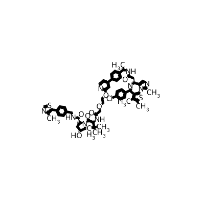 Cc1ncsc1-c1ccc(CNC(=O)[C@@H]2C[C@@H](O)CN2C(=O)[C@@H](NC(=O)COCCOc2cc(-c3ccc([C@@H](C)NC(=O)C[C@@H]4N=C(c5ccc(Cl)cc5)c5c(sc(C)c5C)-n5c4cnc5C)cc3)ccn2)C(C)(C)C)cc1